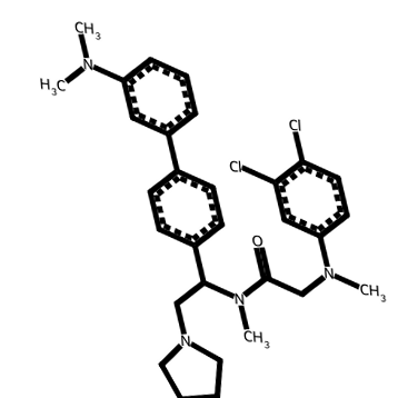 CN(C)c1cccc(-c2ccc(C(CN3CCCC3)N(C)C(=O)CN(C)c3ccc(Cl)c(Cl)c3)cc2)c1